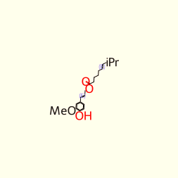 COc1cc(/C=C/COC(=O)CCCC/C=C/C(C)C)ccc1O